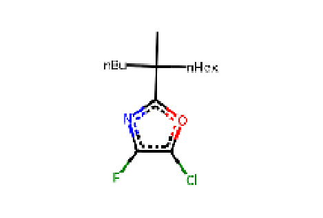 CCCCCCC(C)(CCCC)c1nc(F)c(Cl)o1